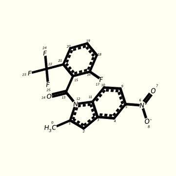 Cc1cc2cc([N+](=O)[O-])ccc2n1C(=O)c1c(F)cccc1C(F)(F)F